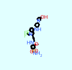 COc1cc(S(N)(=O)=O)ccc1NCC#Cc1cc2c(N[C@H]3CC[C@@H](N4CC[C@H](O)C4)CC3)cccc2n1CC(F)(F)F